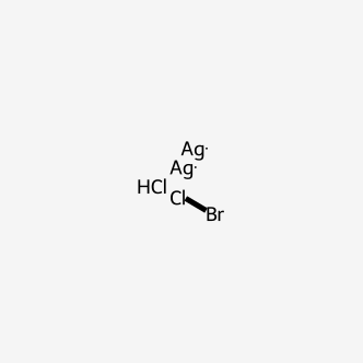 Cl.ClBr.[Ag].[Ag]